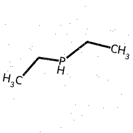 CCPCC